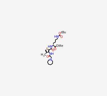 COC(=O)[C@H](CCCCNC(=O)OC(C)(C)C)NC(=O)c1scc(C)c1NC(=O)CN1CCCCCC1